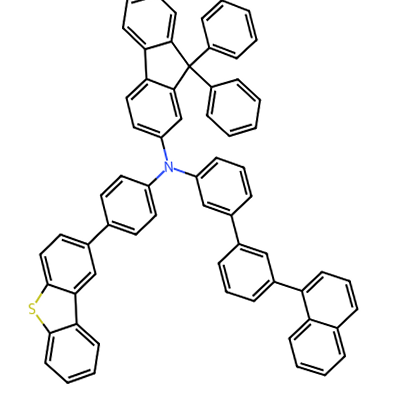 c1ccc(C2(c3ccccc3)c3ccccc3-c3ccc(N(c4ccc(-c5ccc6sc7ccccc7c6c5)cc4)c4cccc(-c5cccc(-c6cccc7ccccc67)c5)c4)cc32)cc1